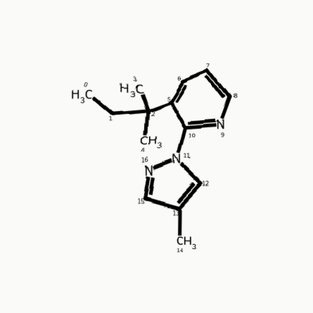 CCC(C)(C)c1cccnc1-n1cc(C)cn1